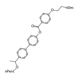 CCCCCCCCCCCCOc1ccc(C(=O)Oc2ccc(-c3ccc(C(C)OCCCCC)cc3)cc2)cc1